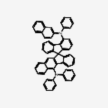 c1ccc(N(c2ccc3ccccc3c2)c2cccc3c2-c2ccccc2C32c3ccccc3-c3c2cc2ccccc2c3N(c2ccccc2)c2ccccc2)cc1